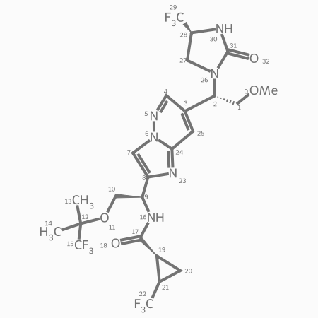 COC[C@H](c1cnn2cc([C@H](COC(C)(C)C(F)(F)F)NC(=O)[C@H]3CC3C(F)(F)F)nc2c1)N1C[C@@H](C(F)(F)F)NC1=O